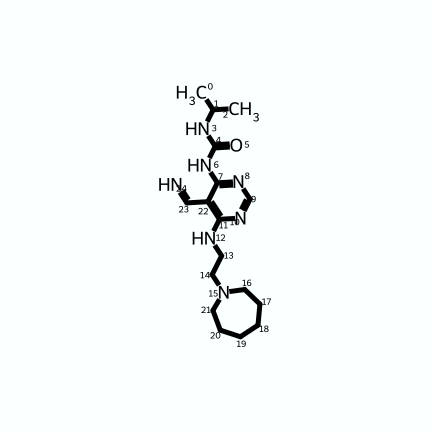 CC(C)NC(=O)Nc1ncnc(NCCN2CCCCCC2)c1C=N